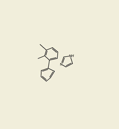 Cc1cccc(-c2ccccc2)c1C.c1c[nH]cn1